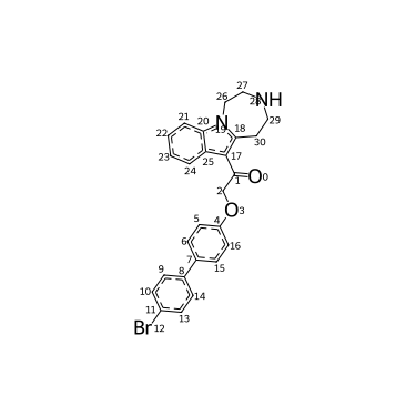 O=C(COc1ccc(-c2ccc(Br)cc2)cc1)c1c2n(c3ccccc13)CCNCC2